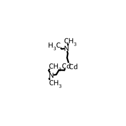 CCN(CC)CC[CH2][Cd][CH2]CCN(CC)CC.[Cd]